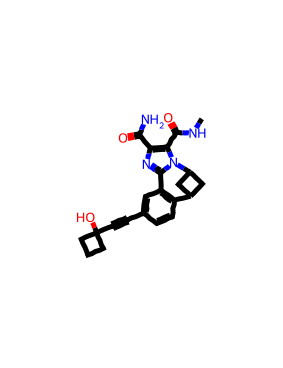 CNC(=O)c1c(C(N)=O)nc2n1C1CC(C1)c1ccc(C#CC3(O)CCC3)cc1-2